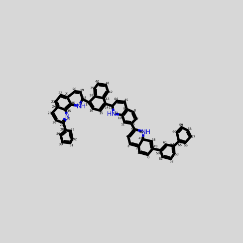 C1=CC2=CC=C(c3ccc4c(c3)NC(c3ccc(C5C=Cc6ccc7ccc(-c8ccccc8)nc7c6N5)c5ccccc35)C=C4)NC2C=C1c1cccc(-c2ccccc2)c1